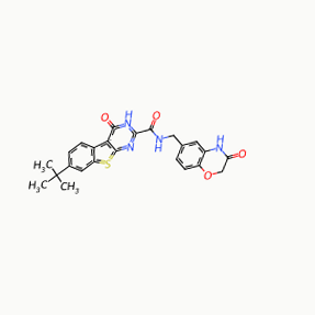 CC(C)(C)c1ccc2c(c1)sc1nc(C(=O)NCc3ccc4c(c3)NC(=O)CO4)[nH]c(=O)c12